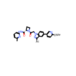 COc1ccc(-c2ccc3c(c2)c(C(C)=O)nn3CC(=O)N2CC[C@H]2C(=O)Nc2cccc(C)n2)cn1